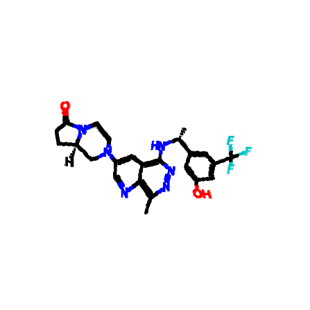 Cc1nnc(N[C@H](C)c2cc(O)cc(C(F)(F)F)c2)c2cc(N3CCN4C(=O)CC[C@@H]4C3)cnc12